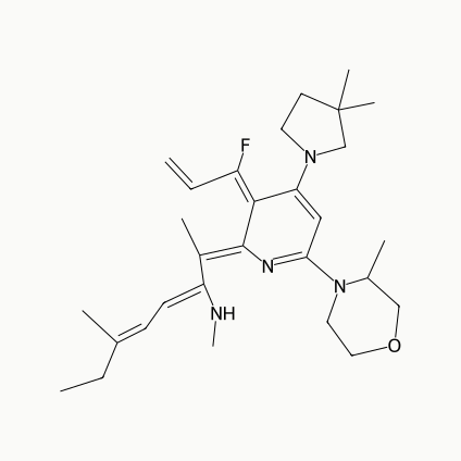 C=C/C(F)=c1/c(N2CCC(C)(C)C2)cc(N2CCOCC2C)n/c1=C(C)\C(=C\C=C(/C)CC)NC